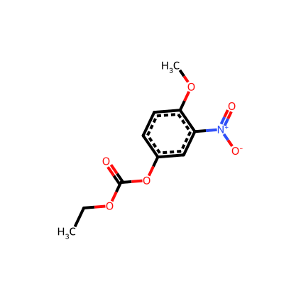 CCOC(=O)Oc1ccc(OC)c([N+](=O)[O-])c1